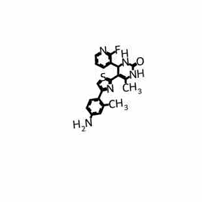 CC1=C(c2nc(-c3ccc(N)cc3C)cs2)C(c2cccnc2F)NC(=O)N1